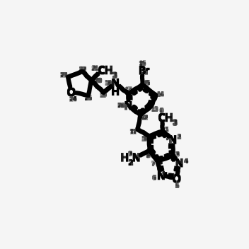 Cc1nc2nonc2c(N)c1Cc1ccc(Br)c(NCC2(C)CCOC2)n1